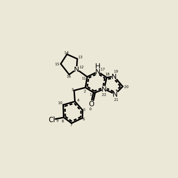 O=c1c(Cc2cccc(Cl)c2)c(N2CCCC2)[nH]c2ncnn12